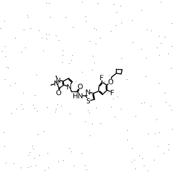 Cn1c(=O)c2c(ccn2CC(=O)Nc2nc(-c3cc(F)c(OCC4CCC4)c(F)c3)cs2)n1C